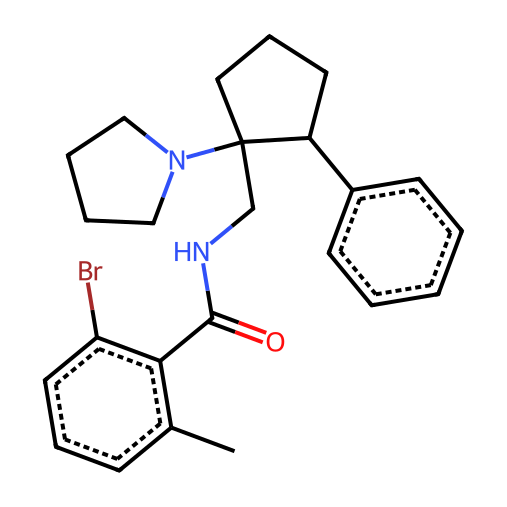 Cc1cccc(Br)c1C(=O)NCC1(N2CCCC2)CCCC1c1ccccc1